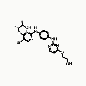 CC(O)[C@@H](C)Oc1nc(Nc2ccc(Nc3nccc(OCCO)n3)cc2)ncc1Br